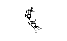 COC[C@]1(O)CC[C@]2(CCN(c3ccc(O[C@H](C)C(F)(F)F)nc3)C2=O)CC1